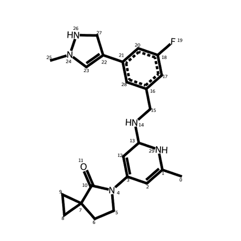 CC1=CC(N2CCC3(CC3)C2=O)=CC(NCc2cc(F)cc(C3=CN(C)NC3)c2)N1